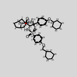 NC1CC2CCC(C1)N2C(=O)[C@H](NS(=O)(=O)c1ccc(OCC2CCCCC2)cc1)C(F)(F)c1ccc(OC2CCCCC2)cc1